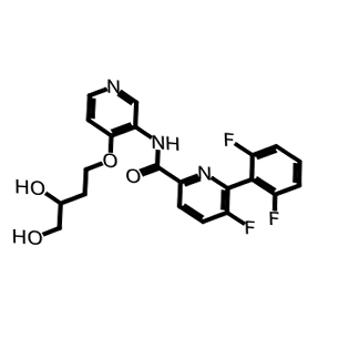 O=C(Nc1cnccc1OCCC(O)CO)c1ccc(F)c(-c2c(F)cccc2F)n1